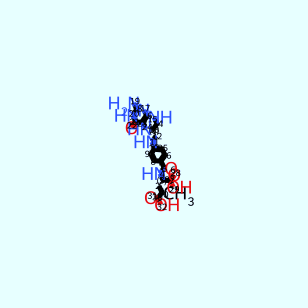 CC(C[C@H](NC(=O)c1ccc(NC[C@H]2CNc3nc(N)[nH]c(=O)c3N2)cc1)C(=O)O)C(=O)O